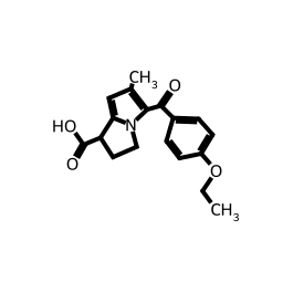 CCOc1ccc(C(=O)c2c(C)cc3n2CCC3C(=O)O)cc1